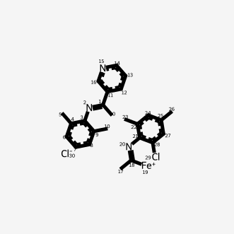 CC(=Nc1c(C)cccc1C)c1cccnc1.C[C]([Fe+])=Nc1c(C)cc(C)cc1Cl.[Cl-]